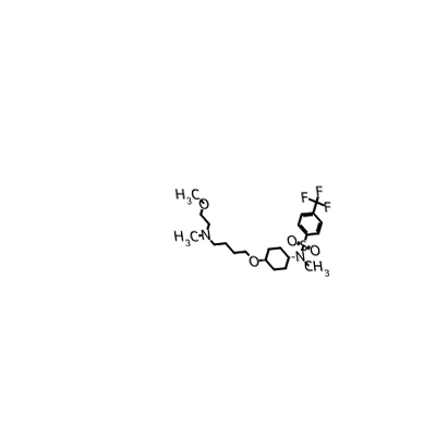 COCCN(C)CCCCO[C@H]1CC[C@H](N(C)S(=O)(=O)c2ccc(C(F)(F)F)cc2)CC1